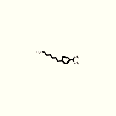 CCCCCC[CH]c1ccc(C(C)C)cc1